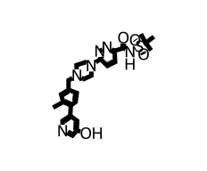 Cc1cc(CN2CCN(c3ccc(C(=O)NS(=O)(=O)C(C)(C)C)nn3)CC2)ccc1-c1cncc(O)c1